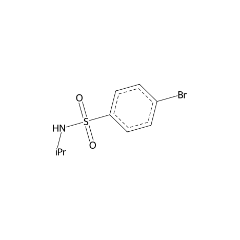 CC(C)NS(=O)(=O)c1ccc(Br)cc1